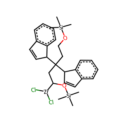 C[Si](C)(C)OCCC(C[CH](O[Si](C)(C)C)[Zr]([Cl])[Cl])(C1C=Cc2ccccc21)C1C=Cc2ccccc21